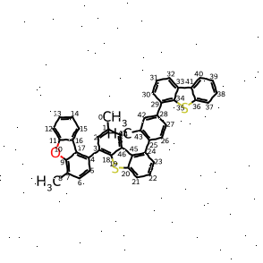 Cc1cc(-c2ccc(C)c3oc4ccccc4c23)c2sc3cccc(-c4ccc(-c5cccc6c5sc5ccccc56)cc4C)c3c2c1